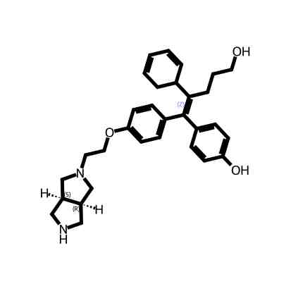 OCCC/C(=C(\c1ccc(O)cc1)c1ccc(OCCN2C[C@H]3CNC[C@H]3C2)cc1)C1C=CC=CC1